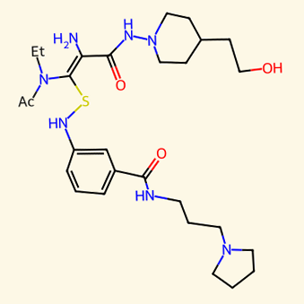 CCN(C(C)=O)/C(SNc1cccc(C(=O)NCCCN2CCCC2)c1)=C(\N)C(=O)NN1CCC(CCO)CC1